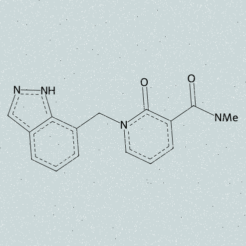 CNC(=O)c1cccn(Cc2cccc3cn[nH]c23)c1=O